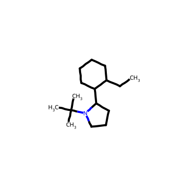 CCC1CCCCC1C1CCCN1C(C)(C)C